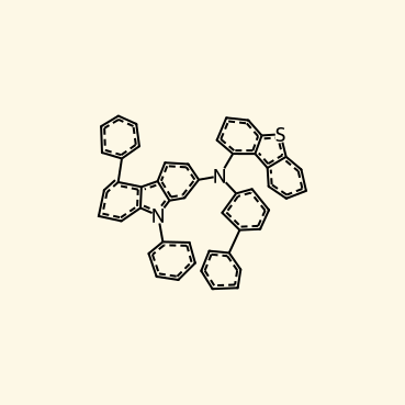 c1ccc(-c2cccc(N(c3ccc4c5c(-c6ccccc6)cccc5n(-c5ccccc5)c4c3)c3cccc4sc5ccccc5c34)c2)cc1